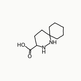 O=C(O)C1CCC2(CCCCC2)NN1